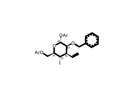 C=C[C@H]1[C@H](C)[C@@H](COC(C)=O)O[C@H](OC(C)=O)[C@H]1OCc1ccccc1